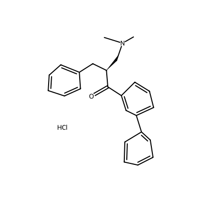 CN(C)C[C@H](Cc1ccccc1)C(=O)c1cccc(-c2ccccc2)c1.Cl